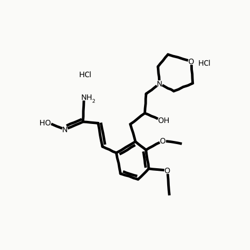 COc1ccc(C=CC(N)=NO)c(CC(O)CN2CCOCC2)c1OC.Cl.Cl